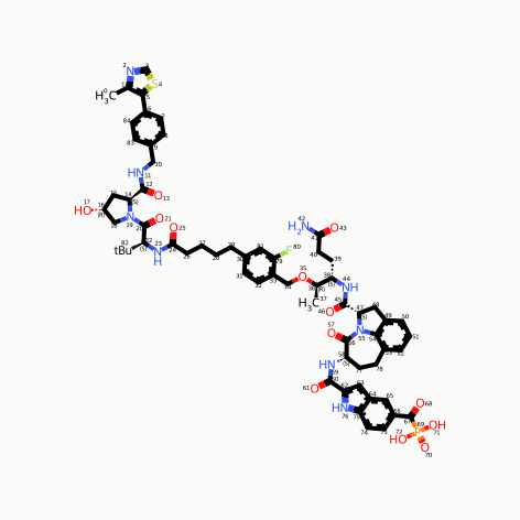 Cc1ncsc1-c1ccc(CNC(=O)[C@@H]2C[C@@H](O)CN2C(=O)[C@@H](NC(=O)CCCCc2ccc(CO[C@H](C)[C@H](CCC(N)=O)NC(=O)[C@@H]3Cc4cccc5c4N3C(=O)[C@@H](NC(=O)c3cc4cc(C(=O)P(=O)(O)O)ccc4[nH]3)CC5)c(F)c2)C(C)(C)C)cc1